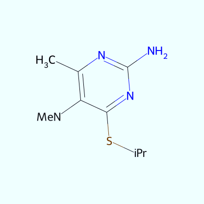 CNc1c(C)nc(N)nc1SC(C)C